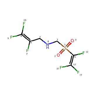 O=S(=O)(CNCC(F)=C(F)F)C(F)=C(F)F